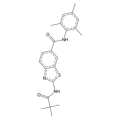 Cc1cc(C)c(NC(=O)c2ccc3nc(NC(=O)C(C)(C)C)sc3c2)c(C)c1